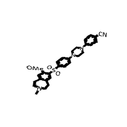 COc1cc2c(cc1S(=O)(=O)c1ccc(N3CCN(c4ccc(C#N)cc4)CC3)cc1)CCN(C)CC2